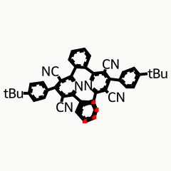 CC(C)(C)c1ccc(-c2c(C#N)c(-c3ccccc3)nc(-c3ccccc3-c3nc(-c4ccccc4)c(C#N)c(-c4ccc(C(C)(C)C)cc4)c3C#N)c2C#N)cc1